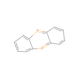 c1ccc2pc3ccccc3pc2c1